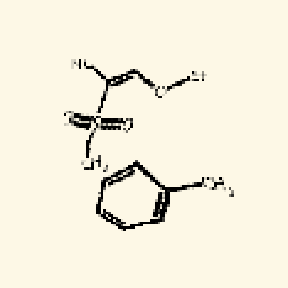 CCOC=C(C#N)S(C)(=O)=O.Cc1ccccc1